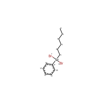 CCCCCC[Si](Br)(Br)c1ccccc1